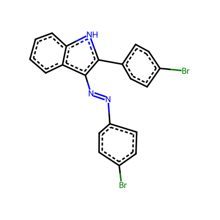 Brc1ccc(/N=N/c2c(-c3ccc(Br)cc3)[nH]c3ccccc23)cc1